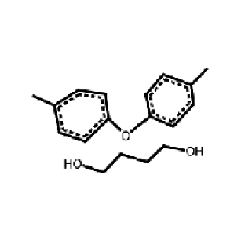 Cc1ccc(Oc2ccc(C)cc2)cc1.OCCCCO